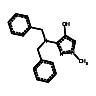 Cn1cc(O)c(N(Cc2ccccc2)Cc2ccccc2)n1